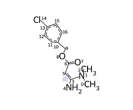 CN(C)/C(N)=C\C(=O)OCc1ccc(Cl)cc1